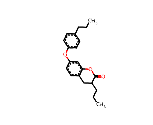 CCCc1ccc(Oc2ccc3c(c2)OC(=O)C(CCC)C3)cc1